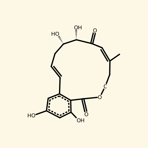 C/C1=C/C(=O)[C@@H](O)[C@@H](O)C/C=C/c2cc(O)cc(O)c2C(=O)OCC1